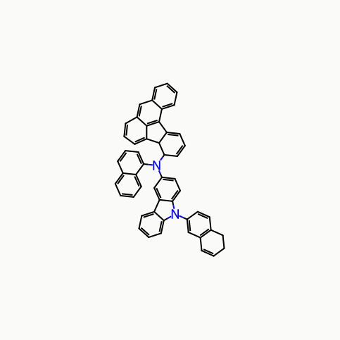 C1=CC(N(c2ccc3c(c2)c2ccccc2n3-c2ccc3c(c2)C=CCC3)c2cccc3ccccc23)C2C(=C1)c1c3ccccc3cc3cccc2c13